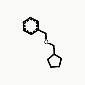 c1ccc(COC[C]2CCCC2)cc1